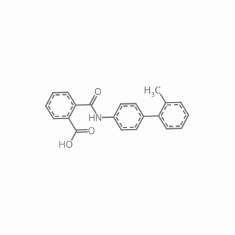 Cc1ccccc1-c1ccc(NC(=O)c2ccccc2C(=O)O)cc1